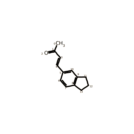 CC(=O)C=Cc1ccc2c(c1)CCC2